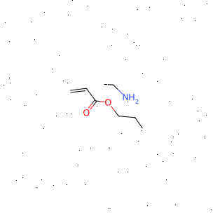 C=CC(=O)OCCC.CCN